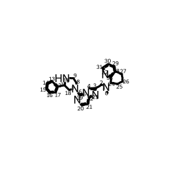 CN(Cc1cn2c(N3CCNC(c4ccccc4)C3)nccc2n1)[C@H]1CCCc2cccnc21